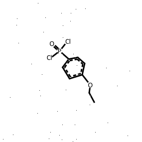 CCOc1ccc(P(=O)(Cl)Cl)cc1